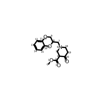 COC(=O)C1CN(CC2COc3ccccc3O2)CCC1=O